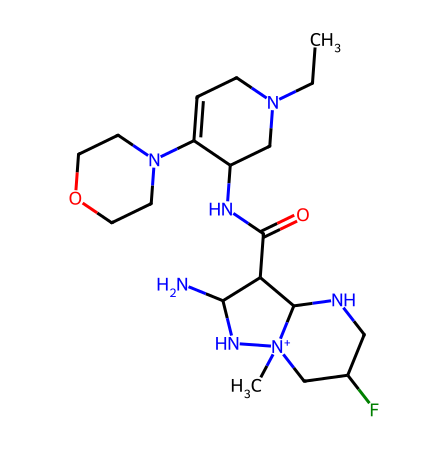 CCN1CC=C(N2CCOCC2)C(NC(=O)C2C(N)N[N+]3(C)CC(F)CNC23)C1